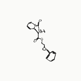 O=C(OCCOc1ccccc1)c1[nH]c(=O)n2ccccc12